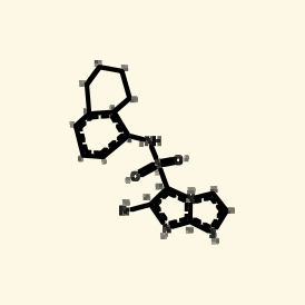 O=S(=O)(Nc1cccc2c1CCCC2)c1c(Br)nc2sccn12